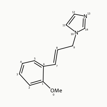 COc1ccccc1/C=C/Cn1ccnc1